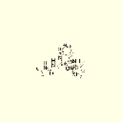 CC(C)NC(=O)NCc1nc(N[C@H](C(N)=O)C(C)C)c2ccccc2n1